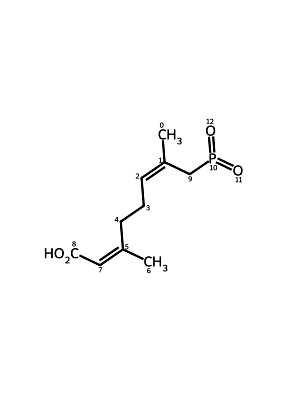 CC(=CCC/C(C)=C\C(=O)O)CP(=O)=O